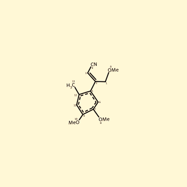 COCC(=CC#N)c1cc(OC)c(OC)cc1C